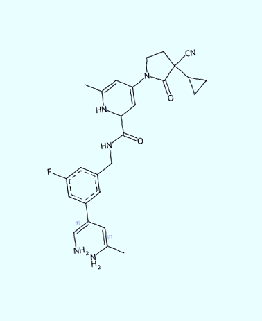 CC1=CC(N2CCC(C#N)(C3CC3)C2=O)=CC(C(=O)NCc2cc(F)cc(C(/C=C(/C)N)=C/N)c2)N1